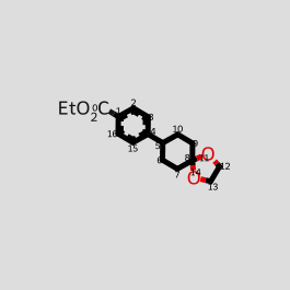 CCOC(=O)c1ccc(C2CCC3(CC2)OCCO3)cc1